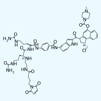 CN1CCN(C(=O)Oc2cc3c(c4ccccc24)[C@H](CCl)CC3C(=O)c2cc3cc(NC(=O)c4ccc(NC(=O)[C@H](CCCNC(N)=O)NC(=O)[C@H](CCCNC(N)=O)NCCNC(=O)CCCN5C(=O)C=CC5=O)cc4)ccc3[nH]2)CC1